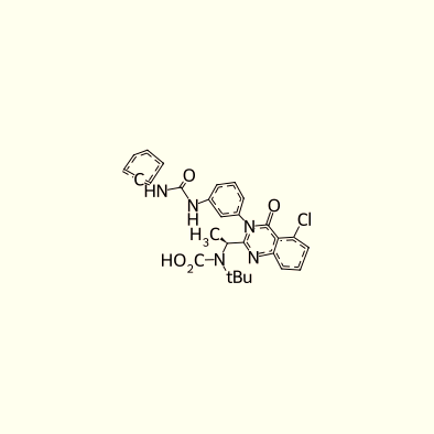 C[C@@H](c1nc2cccc(Cl)c2c(=O)n1-c1cccc(NC(=O)Nc2ccccc2)c1)N(C(=O)O)C(C)(C)C